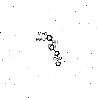 COc1ccc(Nc2nccc(-c3ccc(S(=O)(=O)N4CC=CC4)s3)n2)cc1OC